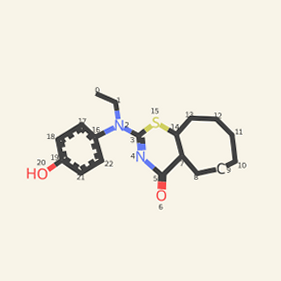 CCN(C1=NC(=O)C2CCCCCCC2S1)c1ccc(O)cc1